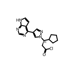 O=C(Cl)C[C@H](C1CCCC1)n1cc(-c2ncnc3[nH]ccc23)cn1